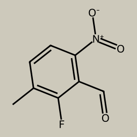 Cc1ccc([N+](=O)[O-])c(C=O)c1F